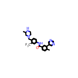 Cc1ccc(C(=O)Nc2ccc(CN3CCNC(C)C3)c(C(F)(F)F)c2)cc1-c1cncnc1